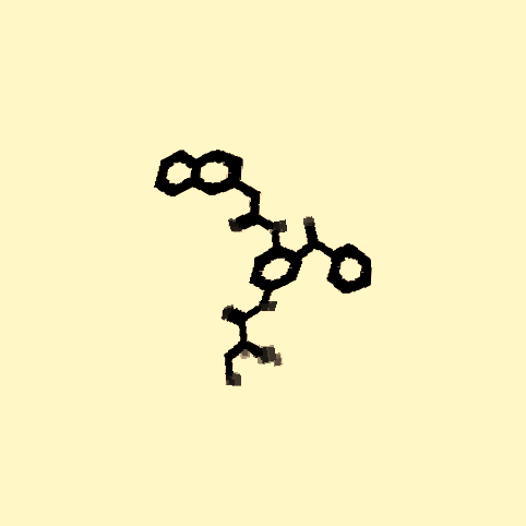 N[C@@H](CS)C(=O)Nc1ccc(NC(=O)Cc2ccc3ccccc3c2)c(C(=O)c2ccccc2)c1